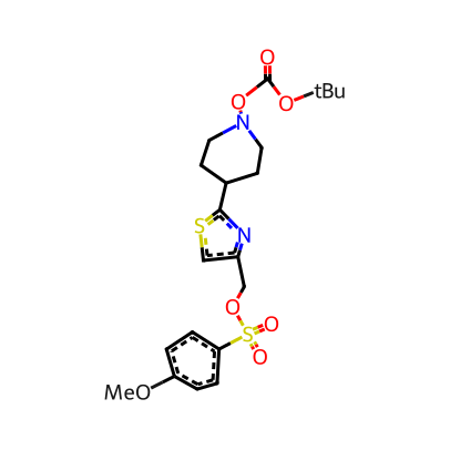 COc1ccc(S(=O)(=O)OCc2csc(C3CCN(OC(=O)OC(C)(C)C)CC3)n2)cc1